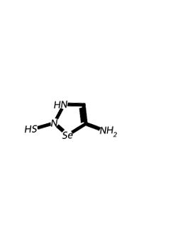 NC1=CNN(S)[Se]1